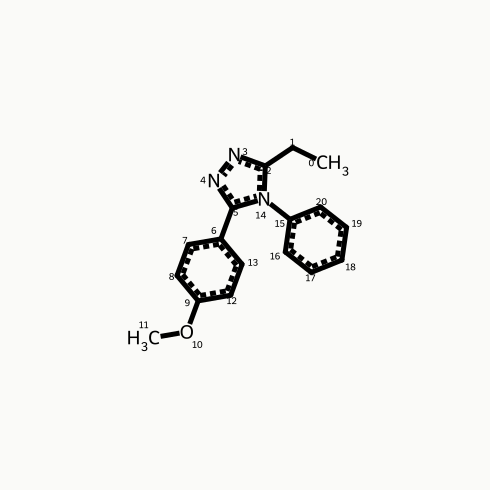 CCc1nnc(-c2ccc(OC)cc2)n1-c1ccccc1